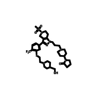 CS(=O)(=O)N1CCc2c(c(-c3ccc(C(F)(F)F)c(SCCN4CCC(CO)CC4)c3)nn2CCCN2CCC(N3CCCC3=O)CC2)C1